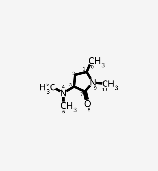 CC1CC(N(C)C)C(=O)N1C